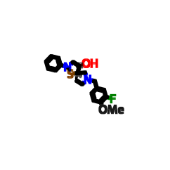 COc1ccc(CN2CC[C@]3(C2)SN(c2ccccc2)C[C@@H]3O)cc1F